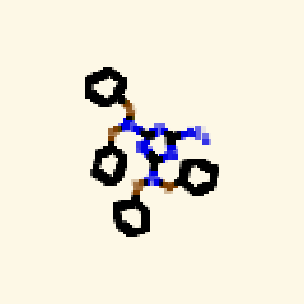 Nc1nc(N(Sc2ccccc2)Sc2ccccc2)nc(N(Sc2ccccc2)Sc2ccccc2)n1